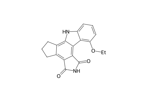 CCOc1cccc2[nH]c3c4c(c5c(c3c12)C(=O)NC5=O)CCC4